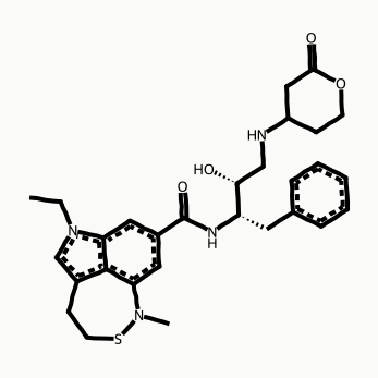 CCn1cc2c3c(cc(C(=O)N[C@@H](Cc4ccccc4)[C@H](O)CNC4CCOC(=O)C4)cc31)N(C)SCC2